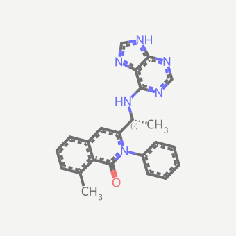 Cc1cccc2cc([C@@H](C)Nc3ncnc4[nH]cnc34)n(-c3ccccc3)c(=O)c12